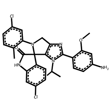 COc1cc(N)ccc1-c1nc2c(n1C(C)C)C1(C(=O)Nc3cc(Cl)ccc31)N(c1cc(Cl)ccc1C)C2